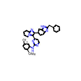 COc1ccc(C(F)(F)F)cc1Nc1nccc(-c2c(-c3ccc4nc(Cc5ccccc5)[nH]c4c3)nc3ccccn23)n1